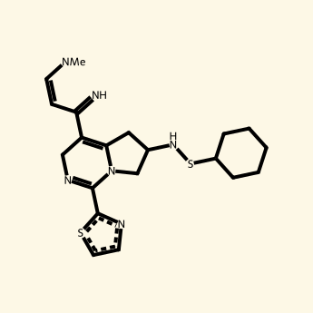 CN/C=C\C(=N)C1=C2CC(NSC3CCCCC3)CN2C(c2nccs2)=NC1